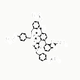 C#Cc1ccc(-c2cccc3sc(N)nc23)c(-c2nnn(Cc3ccc(OC)cc3)n2)c1S(=O)(=O)N(Cc1ccc(OC)cc1)Cc1ccc(OC)cc1